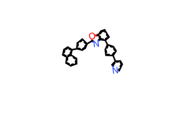 c1cncc(-c2ccc(-c3cccc4oc(-c5ccc(-c6cccc7ccccc67)cc5)nc34)cc2)c1